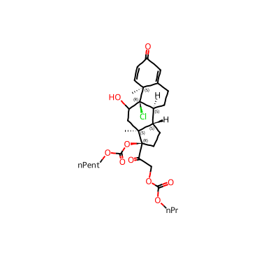 CCCCCOC(=O)O[C@]1(C(=O)COC(=O)OCCC)CC[C@H]2[C@@H]3CCC4=CC(=O)C=C[C@]4(C)[C@@]3(Cl)C(O)C[C@@]21C